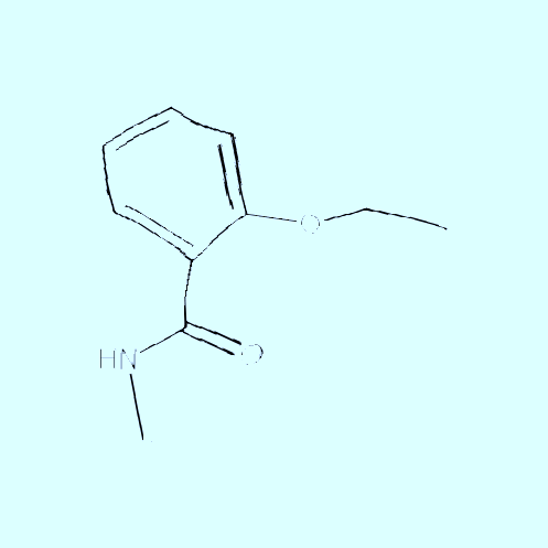 [CH2]NC(=O)c1ccccc1OCC